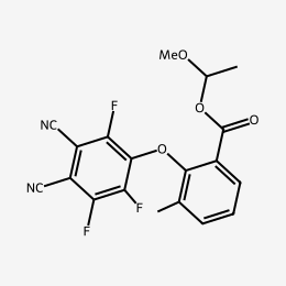 COC(C)OC(=O)c1cccc(C)c1Oc1c(F)c(F)c(C#N)c(C#N)c1F